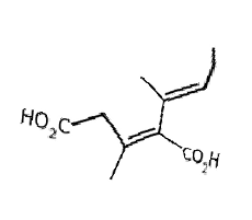 C/C=C(C)/C(C(=O)O)=C(/C)CC(=O)O